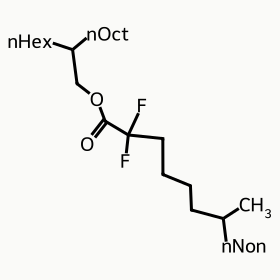 CCCCCCCCCC(C)CCCCC(F)(F)C(=O)OCC(CCCCCC)CCCCCCCC